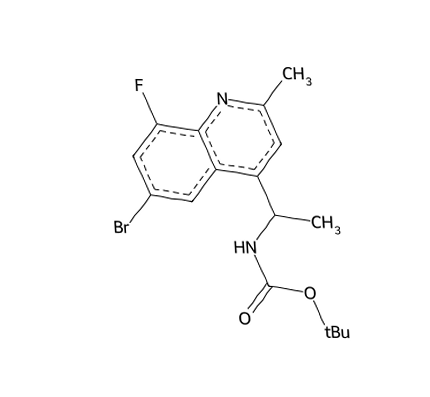 Cc1cc(C(C)NC(=O)OC(C)(C)C)c2cc(Br)cc(F)c2n1